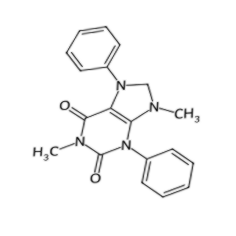 CN1CN(c2ccccc2)c2c1n(-c1ccccc1)c(=O)n(C)c2=O